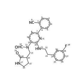 N#Cc1ccccc1-c1ccc(N(C=O)CC2CCNC2=O)c(NCCc2cccc(F)c2)n1